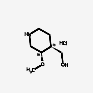 CO[C@@H]1CNCC[C@@H]1CO.Cl